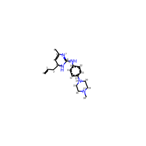 C=CCC1C=C(C)N=C(Nc2ccc(N3CCN(C)CC3)cc2)N1